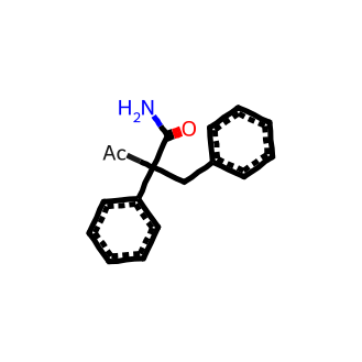 CC(=O)C(Cc1ccccc1)(C(N)=O)c1ccccc1